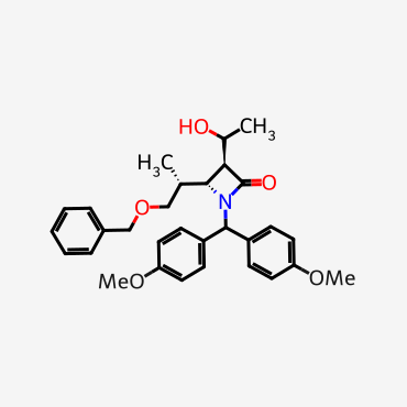 COc1ccc(C(c2ccc(OC)cc2)N2C(=O)[C@H](C(C)O)[C@H]2[C@@H](C)COCc2ccccc2)cc1